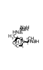 CCN(CC)OC(C)=O.[NaH].[NaH].[NaH].[NaH]